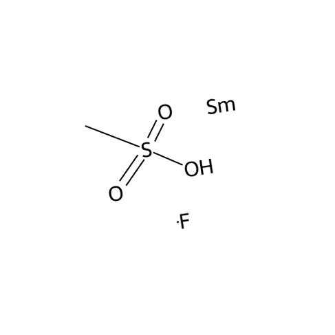 CS(=O)(=O)O.[F].[Sm]